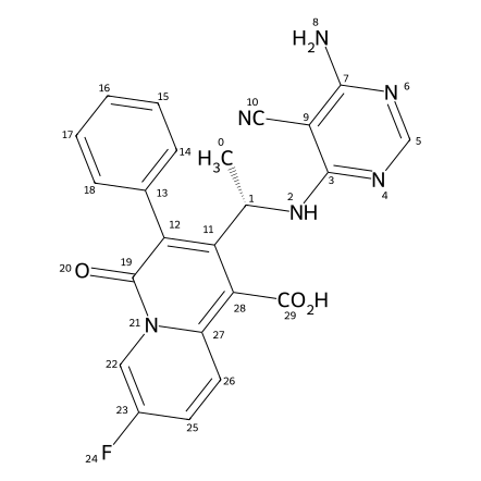 C[C@H](Nc1ncnc(N)c1C#N)c1c(-c2ccccc2)c(=O)n2cc(F)ccc2c1C(=O)O